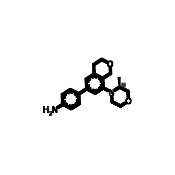 C[C@H]1COCCN1c1cc(-c2ccc(N)cc2)cc2c1COCC2